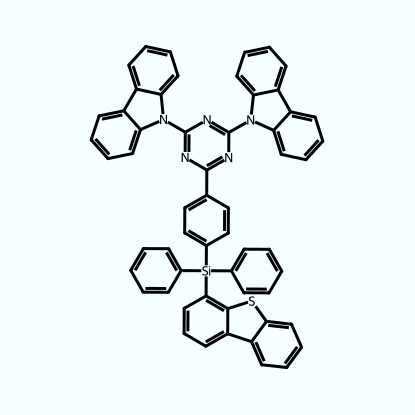 c1ccc([Si](c2ccccc2)(c2ccc(-c3nc(-n4c5ccccc5c5ccccc54)nc(-n4c5ccccc5c5ccccc54)n3)cc2)c2cccc3c2sc2ccccc23)cc1